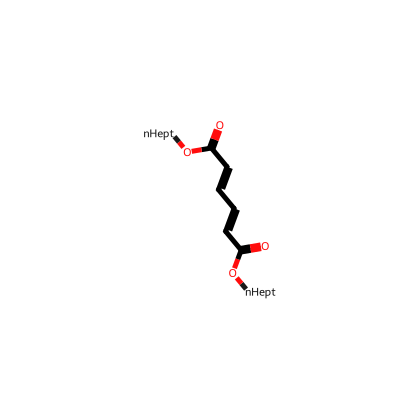 CCCCCCCOC(=O)C=CC=CC(=O)OCCCCCCC